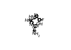 NC1CN(c2cncc(-c3cc4c(-c5cc6c(-c7cc(O)cc(F)c7)ccnc6[nH]5)n[nH]c4cn3)n2)C1